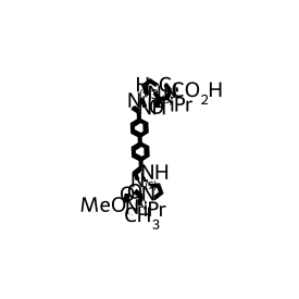 COC(=O)N(C)[C@H](C(=O)N1CCC[C@H]1c1ncc(-c2ccc(-c3ccc(-c4cnc([C@@H]5CCCN5C(=O)[C@H](C(C)C)N(C)C(=O)O)[nH]4)cc3)cc2)[nH]1)C(C)C